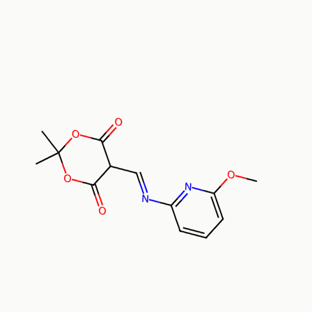 COc1cccc(N=CC2C(=O)OC(C)(C)OC2=O)n1